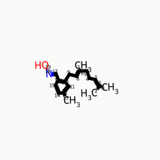 CC(C)=CCC/C(C)=C/Cc1cc(C)ccc1C=NO